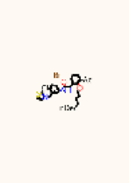 CCCCCCCCCCCCCCOc1c(CC(=O)Nc2cccc(C[n+]3ccsc3C)c2)cccc1C(C)=O.[Br-]